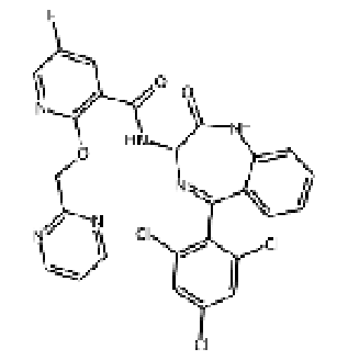 O=C(N[C@@H]1N=C(c2c(Cl)cc(Cl)cc2Cl)c2ccccc2NC1=O)c1cc(F)cnc1OCc1ncccn1